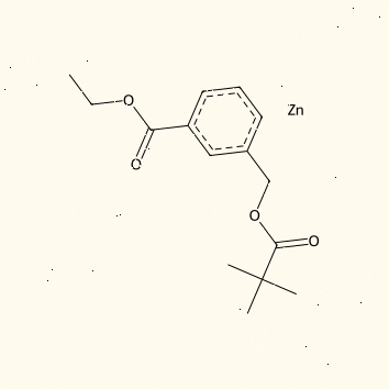 CCOC(=O)c1cccc(COC(=O)C(C)(C)C)c1.[Zn]